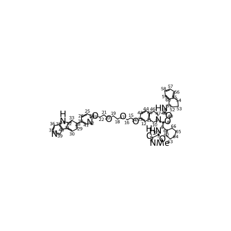 CN[C@@H](C)C(=O)N[C@H](C(=O)N1Cc2cc(OCCOCCOCCOc3ccc(-c4ccc5c(c4)[nH]c4ccncc45)cn3)ccc2C[C@@H]1C(=O)N[C@H]1CCCc2ccccc21)C1CCCCC1